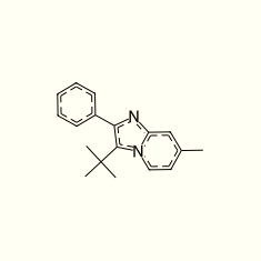 Cc1ccn2c(C(C)(C)C)c(-c3ccccc3)nc2c1